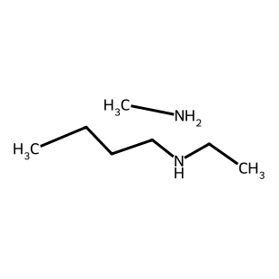 CCCCNCC.CN